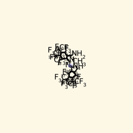 Cn1c(N)c2c(F)c(C(F)(C(F)(F)F)C(F)(F)F)c(C(F)(C(F)(F)F)C(F)(F)F)c(F)c2c1/N=C1\NCc2c(F)c(C(F)(C(F)(F)F)C(F)(F)F)c(C(F)(C(F)(F)F)C(F)(F)F)c(F)c21